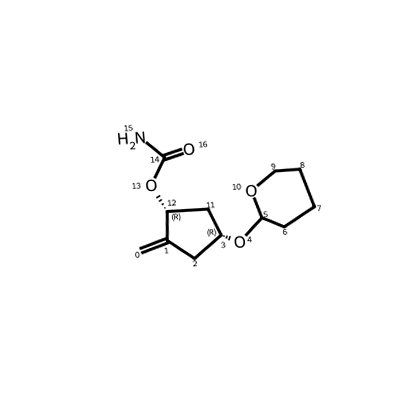 C=C1C[C@@H](OC2CCCCO2)C[C@H]1OC(N)=O